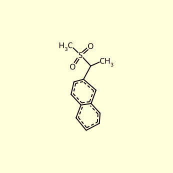 CC(c1ccc2ccccc2c1)S(C)(=O)=O